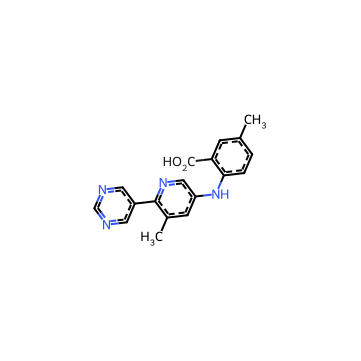 Cc1ccc(Nc2cnc(-c3cncnc3)c(C)c2)c(C(=O)O)c1